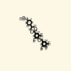 CCCCC1CCC(C2COC(c3cc(F)c(OCc4cc(F)c(F)c(F)c4)c(F)c3)OC2)CC1